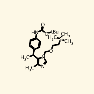 Cc1ncn(COCC[Si](C)(C)C)c1C(C)c1ccc(NC(=O)OC(C)(C)C)cc1